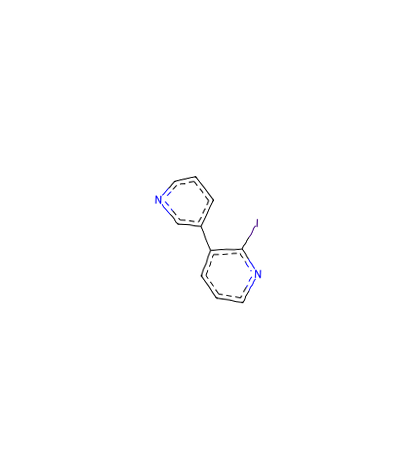 Ic1ncccc1-c1cccnc1